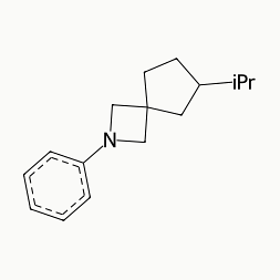 CC(C)C1CCC2(C1)CN(c1ccccc1)C2